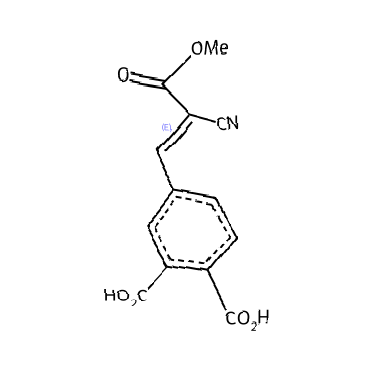 COC(=O)/C(C#N)=C/c1ccc(C(=O)O)c(C(=O)O)c1